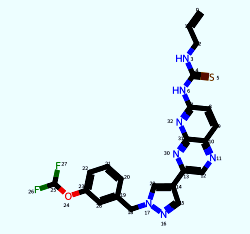 C=CCNC(=S)Nc1ccc2ncc(-c3cnn(Cc4cccc(OC(F)F)c4)c3)nc2n1